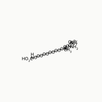 CCCN(CCC)C(=O)C1=Cc2ccc(S(=O)(=O)N(C)CCOCCOCCOCCOCCOCCOCCOCCOCCOCCOCCNC(=O)O)cc2N=C(N)C1